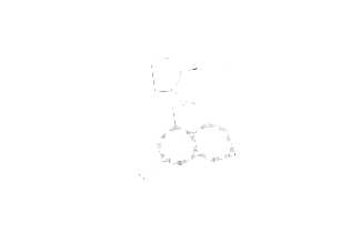 COc1cc(N)cc2ccccc12.O=C(O)[C@@H]1CCCN1